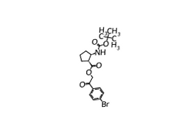 CC(C)(C)OC(=O)N[C@@H]1CCC[C@@H]1C(=O)OCC(=O)c1ccc(Br)cc1